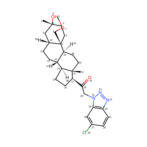 COC[C@]12CC[C@@](C)(O)C[C@H]1CC[C@H]1[C@@H]3CC[C@H](C(=O)Cn4nnc5ccc(Cl)cc54)[C@@]3(C)CC[C@@H]12